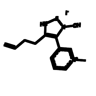 C=CCCC1=C(c2ccc[n+](C)c2)N(O)SN1.[I-]